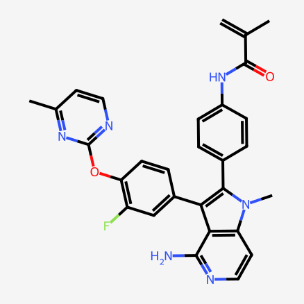 C=C(C)C(=O)Nc1ccc(-c2c(-c3ccc(Oc4nccc(C)n4)c(F)c3)c3c(N)nccc3n2C)cc1